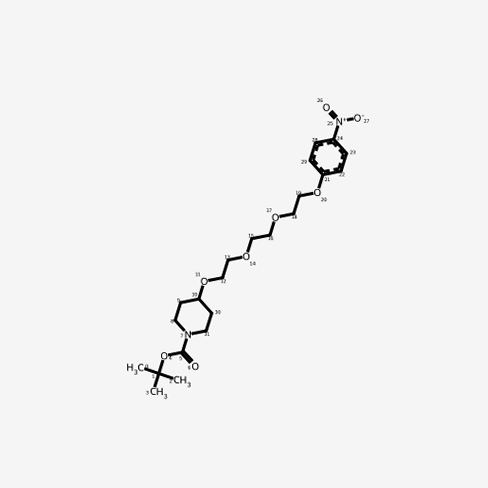 CC(C)(C)OC(=O)N1CCC(OCCOCCOCCOc2ccc([N+](=O)[O-])cc2)CC1